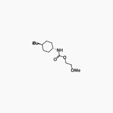 CCC(C)[C@H]1CC[C@H](NC(=O)OCCOC)CC1